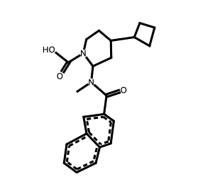 CN(C(=O)c1ccc2ccccc2c1)C1CC(C2CCC2)CCN1C(=O)O